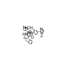 Cn1nccc1C(=O)N[C@H](C(=O)Nc1ccc(-c2nccn2C2CC2)cc1)C1c2ccccc2CC12CC2